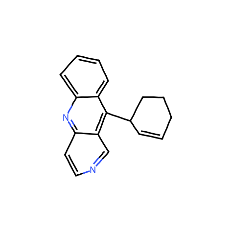 C1=CC(c2c3ccccc3nc3ccncc23)CCC1